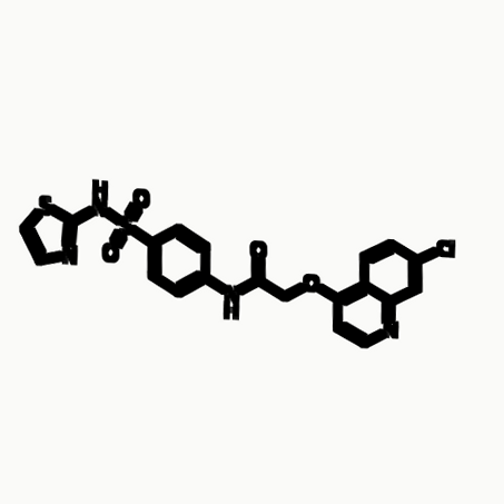 O=C(COc1ccnc2cc(Cl)ccc12)Nc1ccc(S(=O)(=O)Nc2nccs2)cc1